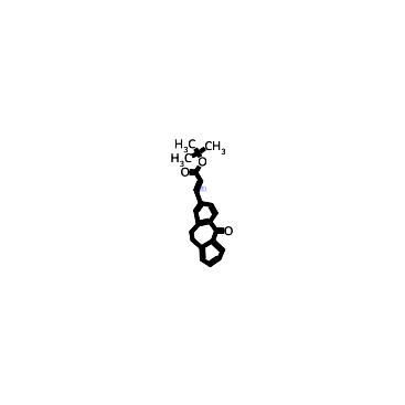 CC(C)(C)OC(=O)/C=C/c1ccc2c(c1)CCc1ccccc1C2=O